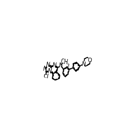 CN(c1cccc(-c2ccc(N3CCOCC3)cc2)c1)c1nc2nnc(Cl)n2c2ccccc12